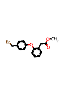 COC(=O)Cc1ccccc1Oc1ccc(CBr)cc1